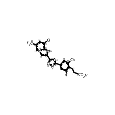 O=C(O)CCc1c(F)cc(-c2noc(-c3cn4cc(C(F)(F)F)cc(Cl)c4n3)n2)cc1Cl